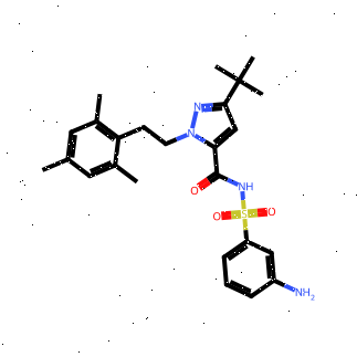 Cc1cc(C)c(CCn2nc(C(C)(C)C)cc2C(=O)NS(=O)(=O)c2cccc(N)c2)c(C)c1